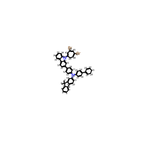 CC1(C)c2ccccc2-c2ccc(N(c3ccc(C4=CCCC=C4)cc3)c3ccc(-c4ccc5c6ccccc6n(C6=CC(Br)=CC(Br)=CC6)c5c4)cc3)cc21